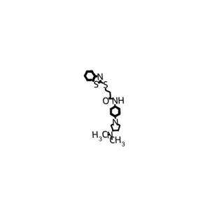 CN(C)C1CCN(c2ccc(NC(=O)CCSc3nc4ccccc4s3)cc2)C1